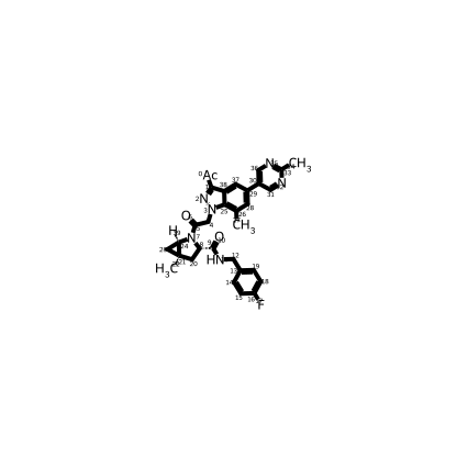 CC(=O)c1nn(CC(=O)N2[C@H](C(=O)NCc3ccc(F)cc3)C[C@@]3(C)C[C@@H]23)c2c(C)cc(-c3cnc(C)nc3)cc12